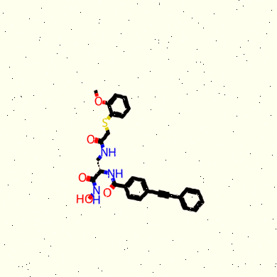 COc1ccccc1SCC(=O)NC[C@H](NC(=O)c1ccc(C#Cc2ccccc2)cc1)C(=O)NO